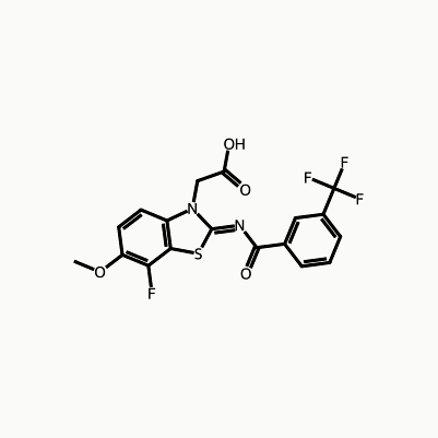 COc1ccc2c(sc(=NC(=O)c3cccc(C(F)(F)F)c3)n2CC(=O)O)c1F